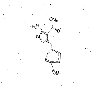 COC(=O)c1c(N)ncn1Cc1ccc(OC)cc1